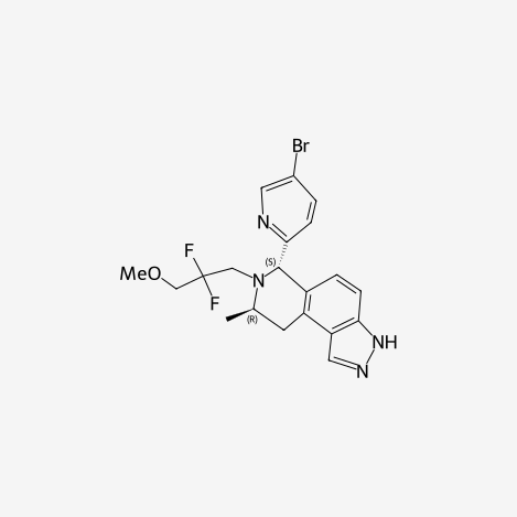 COCC(F)(F)CN1[C@H](c2ccc(Br)cn2)c2ccc3[nH]ncc3c2C[C@H]1C